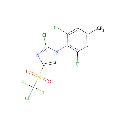 O=S(=O)(c1cn(-c2c(Cl)cc(C(F)(F)F)cc2Cl)c(Cl)n1)C(F)(F)Cl